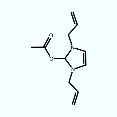 C=CCN1C=CN(CC=C)C1OC(C)=O